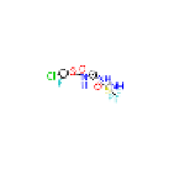 O=C(COc1ccc(Cl)c(F)c1)NC12CCC(NC(=O)C3CNC(C(F)(F)F)S3)(C1)C2